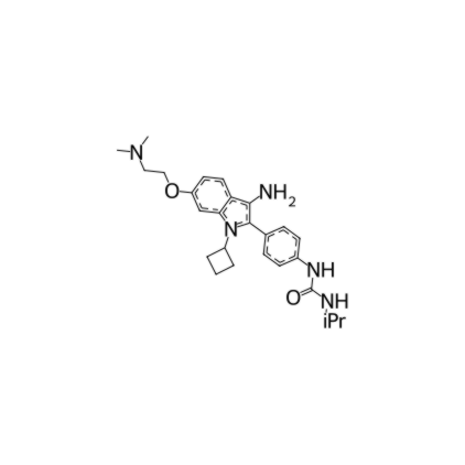 CC(C)NC(=O)Nc1ccc(-c2c(N)c3ccc(OCCN(C)C)cc3n2C2CCC2)cc1